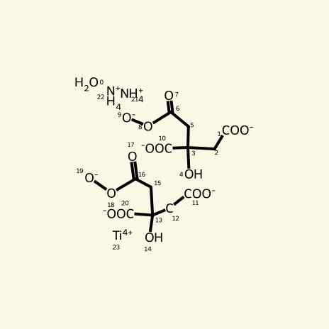 O.O=C([O-])CC(O)(CC(=O)O[O-])C(=O)[O-].O=C([O-])CC(O)(CC(=O)O[O-])C(=O)[O-].[NH4+].[NH4+].[Ti+4]